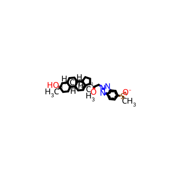 C[S+]([O-])c1ccc2nn(CC(=O)[C@H]3CC[C@H]4[C@@H]5CC[C@H]6C[C@](C)(O)CC[C@]6(C)[C@H]5CC[C@]34C)nc2c1